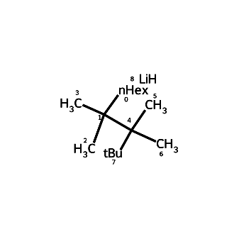 CCCCCCC(C)(C)C(C)(C)C(C)(C)C.[LiH]